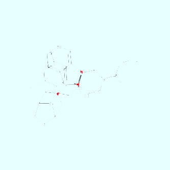 Cc1nc2ccccc2n1C1CC2CCC(C1)N2CCC1(c2cc(F)cc(Cl)c2)CCN(C(=O)OC(C)(C)C)CC1